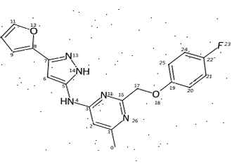 Cc1cc(Nc2cc(-c3ccco3)n[nH]2)nc(COc2ccc(F)cc2)n1